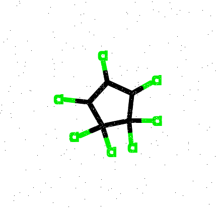 ClC1C(Cl)C(Cl)(Cl)C(Cl)(Cl)C1Cl